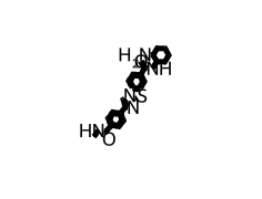 CNC(=O)c1ccc(-c2cn3c(n2)sc2cc(C(=O)NC4CCCCC4N)ccc23)cc1